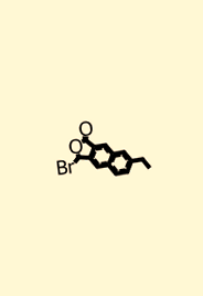 CCc1ccc2cc3c(cc2c1)C(=O)OC3Br